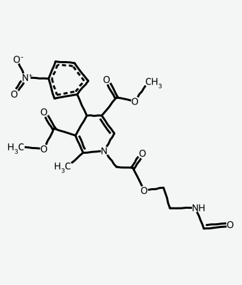 COC(=O)C1=CN(CC(=O)OCCNC=O)C(C)=C(C(=O)OC)C1c1cccc([N+](=O)[O-])c1